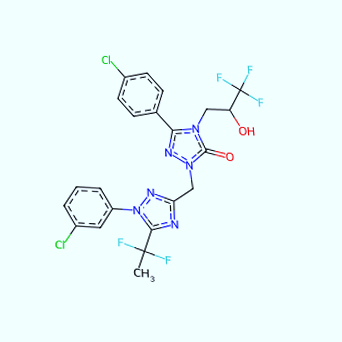 CC(F)(F)c1nc(Cn2nc(-c3ccc(Cl)cc3)n(CC(O)C(F)(F)F)c2=O)nn1-c1cccc(Cl)c1